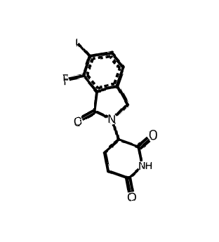 O=C1CCC(N2Cc3ccc(I)c(F)c3C2=O)C(=O)N1